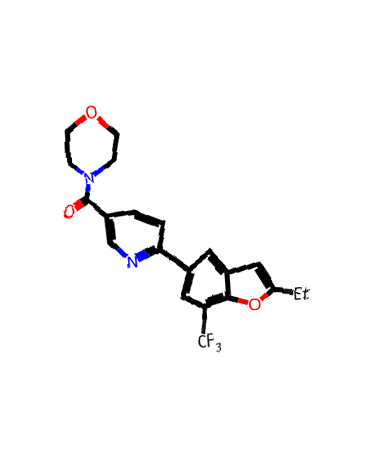 CCc1cc2cc(-c3ccc(C(=O)N4CCOCC4)cn3)cc(C(F)(F)F)c2o1